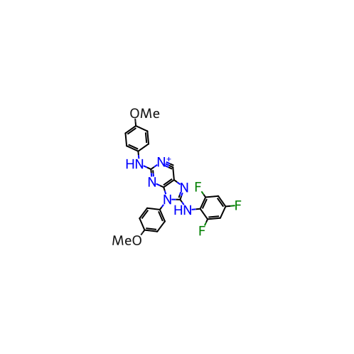 COc1ccc(Nc2nc3c(c#[n+]2)nc(Nc2c(F)cc(F)cc2F)n3-c2ccc(OC)cc2)cc1